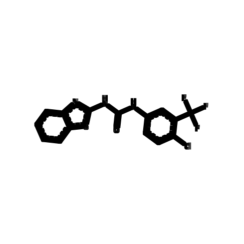 O=C(Nc1ccc(Cl)c(C(F)(F)F)c1)Nc1nc2ccccc2s1